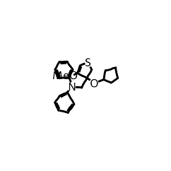 COC1=CSCC1(CN(c1ccccc1)c1ccccc1)OC1CCCC1